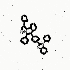 c1ccc(-c2cnn3c(-c4ccccc4)c(-c4ccc(-c5nc6ccccc6n5-c5ccccc5)cc4)c4ccccc4c23)cc1